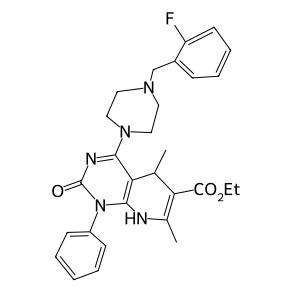 CCOC(=O)C1=C(C)Nc2c(c(N3CCN(Cc4ccccc4F)CC3)nc(=O)n2-c2ccccc2)C1C